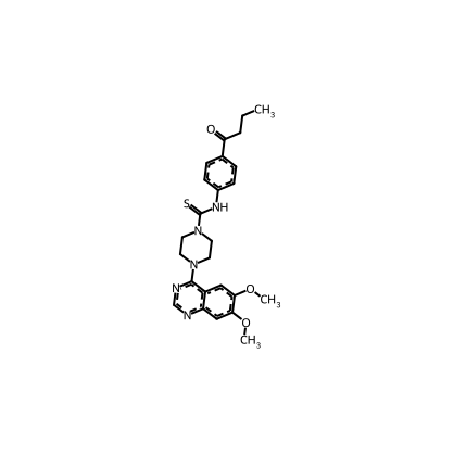 CCCC(=O)c1ccc(NC(=S)N2CCN(c3ncnc4cc(OC)c(OC)cc34)CC2)cc1